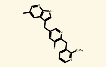 COc1ncccc1[CH]c1ncc(Cc2c[nH]c3ncc(C)cc23)cc1F